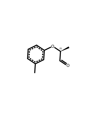 Cc1cccc(O[C@@H](C)C=O)c1